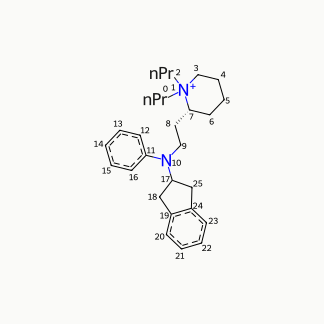 CCC[N+]1(CCC)CCCC[C@@H]1CCN(c1ccccc1)C1Cc2ccccc2C1